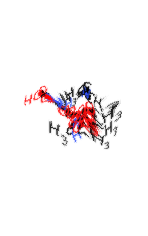 CC(=O)N[C@H]1[C@H](OCCOCCOCCNC(=O)CCC(=O)O)O[C@H](COC(C)=O)[C@H](OC(C)=O)[C@@H]1OC(C)=O.CCN(CC)CC